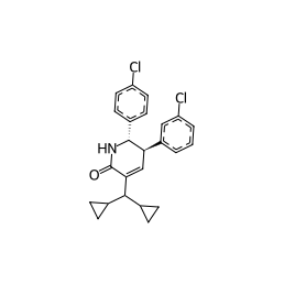 O=C1N[C@H](c2ccc(Cl)cc2)[C@@H](c2cccc(Cl)c2)C=C1C(C1CC1)C1CC1